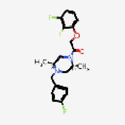 C[C@@H]1CN(Cc2ccc(F)cc2)[C@@H](C)CN1C(=O)COc1cccc(F)c1F